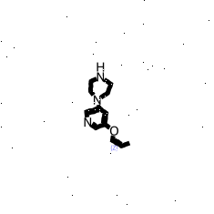 C/C=C\Oc1cncc(N2CCNCC2)c1